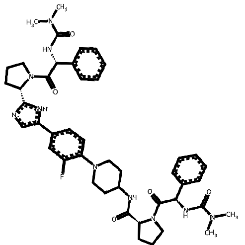 CN(C)C(=O)N[C@@H](C(=O)N1CCC[C@H]1C(=O)NC1CCN(c2ccc(-c3cnc([C@@H]4CCCN4C(=O)[C@H](NC(=O)N(C)C)c4ccccc4)[nH]3)cc2F)CC1)c1ccccc1